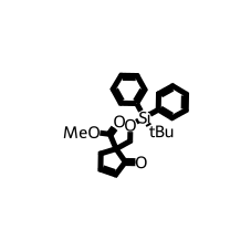 COC(=O)C1(CO[Si](c2ccccc2)(c2ccccc2)C(C)(C)C)CC=CC1=O